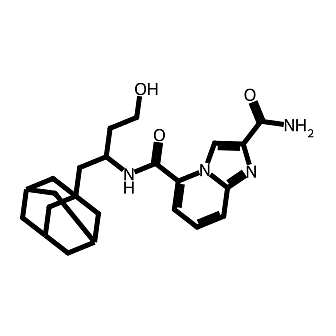 NC(=O)c1cn2c(C(=O)NC(CCO)CC34CC5CC(CC(C5)C3)C4)cccc2n1